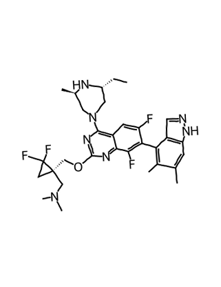 CC[C@@H]1CN(c2nc(OC[C@]3(CN(C)C)CC3(F)F)nc3c(F)c(-c4c(C)c(C)cc5[nH]ncc45)c(F)cc23)C[C@@H](C)N1